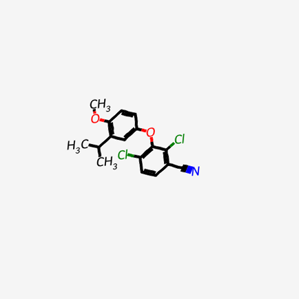 COc1ccc(Oc2c(Cl)ccc(C#N)c2Cl)cc1C(C)C